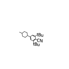 CC1CCC(c2cc(C(C)(C)C)c(C#N)c(C(C)(C)C)c2)CC1